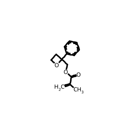 C=C(C)C(=O)OCC1(c2ccccc2)CCO1